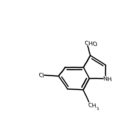 Cc1cc(Cl)cc2c(C=O)c[nH]c12